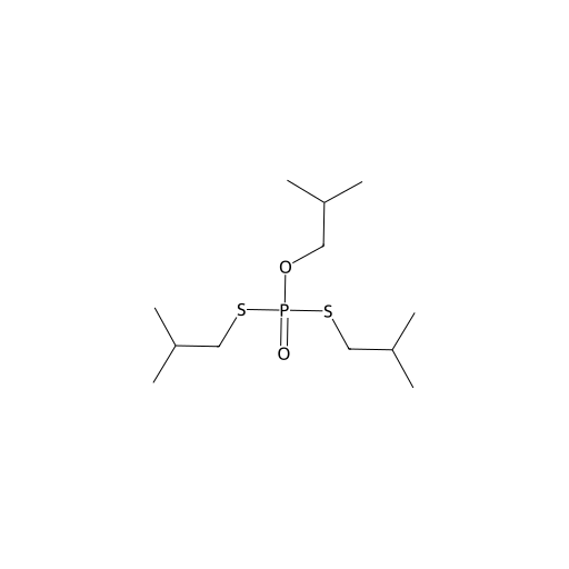 CC(C)COP(=O)(SCC(C)C)SCC(C)C